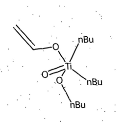 C=C[O][Ti](=[O])([CH2]CCC)([CH2]CCC)[O]CCCC